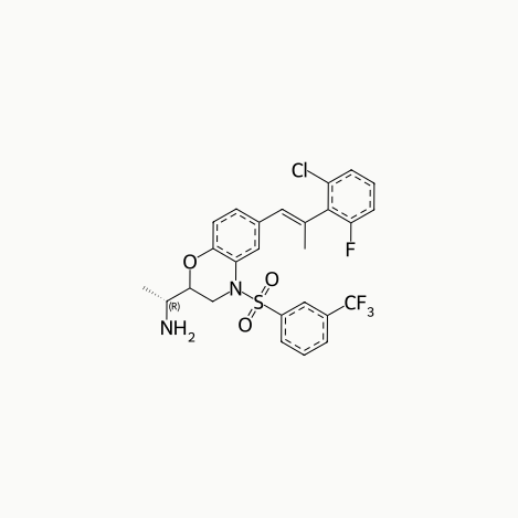 CC(=Cc1ccc2c(c1)N(S(=O)(=O)c1cccc(C(F)(F)F)c1)CC([C@@H](C)N)O2)c1c(F)cccc1Cl